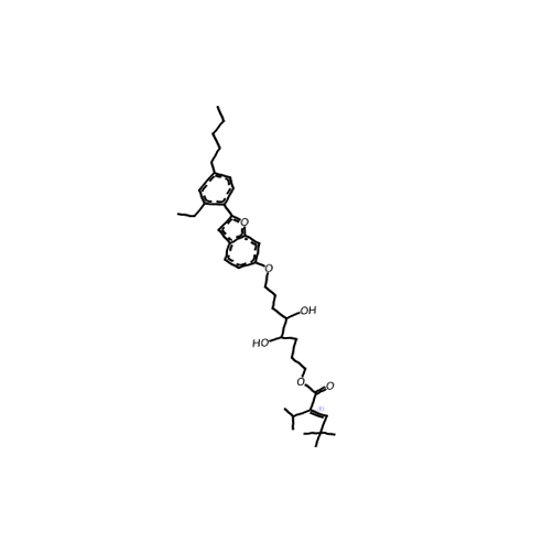 CCCCCc1ccc(-c2cc3ccc(OCCCC(O)C(O)CCCOC(=O)/C(=C/C(C)(C)C)C(C)C)cc3o2)c(CC)c1